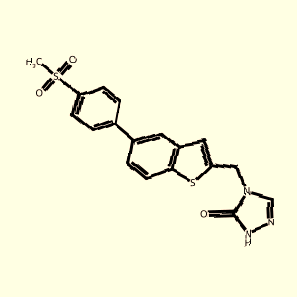 CS(=O)(=O)c1ccc(-c2ccc3sc(Cn4cn[nH]c4=O)cc3c2)cc1